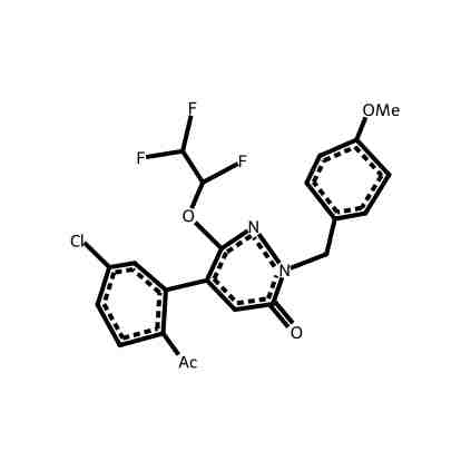 COc1ccc(Cn2nc(OC(F)C(F)F)c(-c3cc(Cl)ccc3C(C)=O)cc2=O)cc1